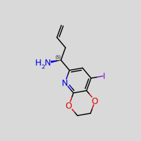 C=CC[C@H](N)c1cc(I)c2c(n1)OCCO2